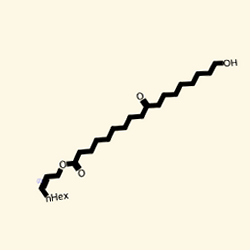 CCCCCC/C=C\COC(=O)CCCCCCCCC(=O)CCCCCCCCO